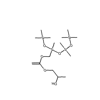 C=C(OCC(C)O)OC[Si](C)(O[Si](C)(C)C)O[Si](C)(C)O[Si](C)(C)C